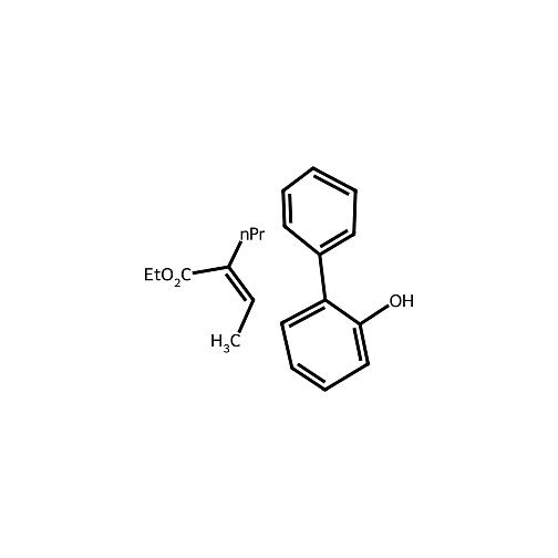 CC=C(CCC)C(=O)OCC.Oc1ccccc1-c1ccccc1